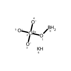 BO[Cl+3]([O-])([O-])[O-].[KH]